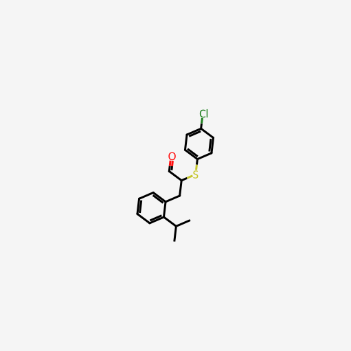 CC(C)c1ccccc1CC(C=O)Sc1ccc(Cl)cc1